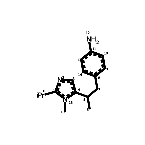 CC(C)c1ncc(C(C)Cc2ccc(N)cc2)n1C